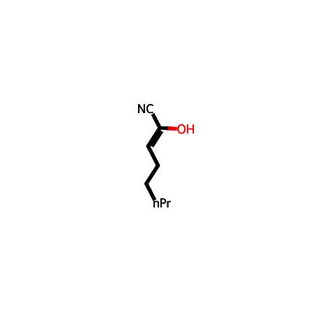 CCCCCC=C(O)C#N